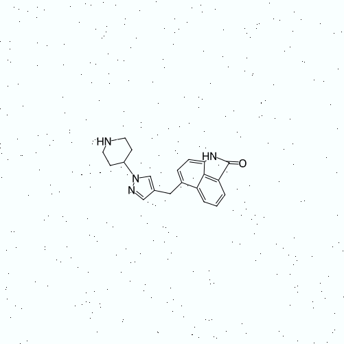 O=C1Nc2ccc(Cc3cnn(C4CCNCC4)c3)c3cccc1c23